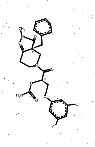 CN1N=C2CCN(C(=O)[C@@H](COc3cc(Cl)cc(Cl)c3)OC(N)=O)C[C@@]2(Cc2ccccc2)C1=O